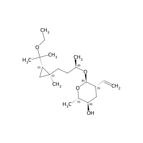 C=C[C@@H]1C[C@@H](O)[C@H](C)O[C@H]1O[C@H](C)CC[C@@]1(C)C[C@@H]1C(C)(C)OCC